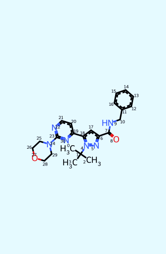 CC(C)(C)n1nc(C(=O)NCc2ccccc2)cc1-c1ccnc(N2CCOCC2)n1